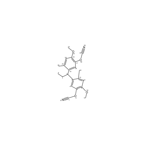 CCC(c1cc(OC#N)c(OC)cc1C)c1cc(OC#N)c(OC)cc1C